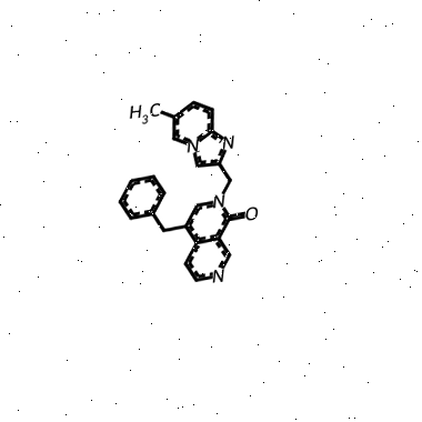 Cc1ccc2nc(Cn3cc(Cc4ccccc4)c4ccncc4c3=O)cn2c1